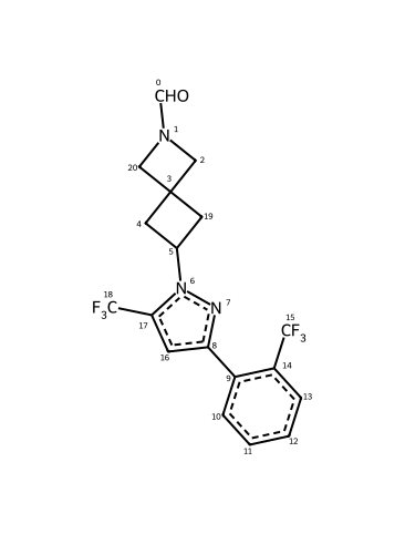 O=CN1CC2(CC(n3nc(-c4ccccc4C(F)(F)F)cc3C(F)(F)F)C2)C1